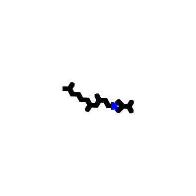 CC(C)CCCCC(C)CC(C)CCN1CC(C(C)C)C1